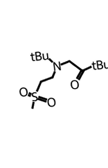 CC(C)(C)C(=O)CN(CCS(C)(=O)=O)C(C)(C)C